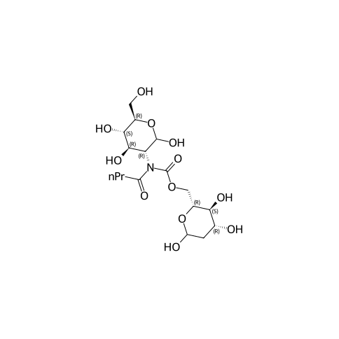 CCCC(=O)N(C(=O)OC[C@H]1OC(O)C[C@@H](O)[C@@H]1O)[C@H]1C(O)O[C@H](CO)[C@@H](O)[C@@H]1O